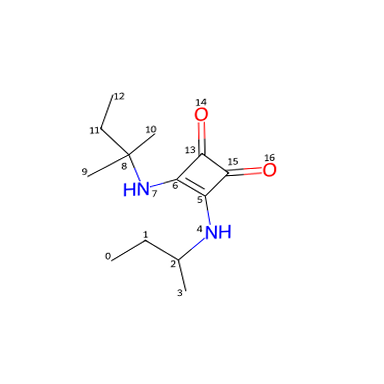 CCC(C)Nc1c(NC(C)(C)CC)c(=O)c1=O